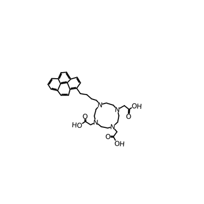 O=C(O)CN1CCN(CCCCc2ccc3ccc4cccc5ccc2c3c45)CCN(CC(=O)O)CCN(CC(=O)O)CC1